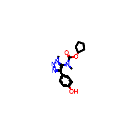 CN(C(=O)OC1CCCC1)c1c(-c2ccc(O)cc2)nnn1C